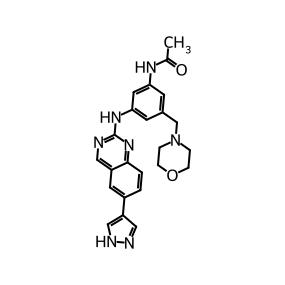 CC(=O)Nc1cc(CN2CCOCC2)cc(Nc2ncc3cc(-c4cn[nH]c4)ccc3n2)c1